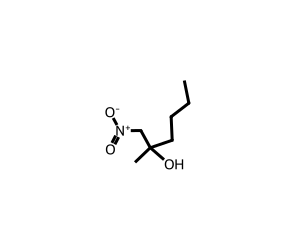 CCCCC(C)(O)C[N+](=O)[O-]